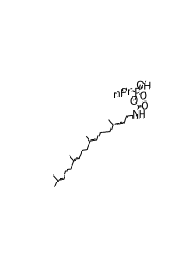 CCCP(=O)(O)OC(=O)NC/C=C(\C)CC/C=C(\C)CC/C=C(\C)CCC=C(C)C